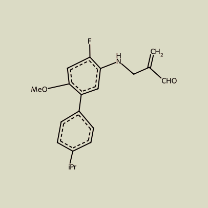 C=C(C=O)CNc1cc(-c2ccc(C(C)C)cc2)c(OC)cc1F